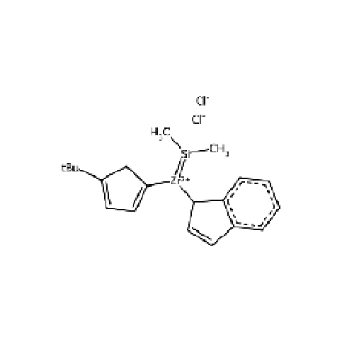 C[Si](C)=[Zr+2]([C]1=CC=C(C(C)(C)C)C1)[CH]1C=Cc2ccccc21.[Cl-].[Cl-]